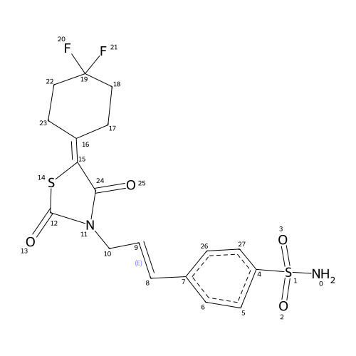 NS(=O)(=O)c1ccc(/C=C/CN2C(=O)SC(=C3CCC(F)(F)CC3)C2=O)cc1